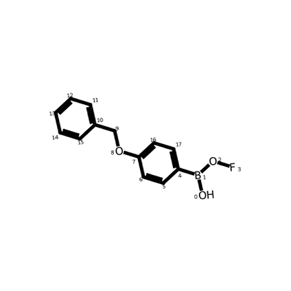 OB(OF)c1ccc(OCc2ccccc2)cc1